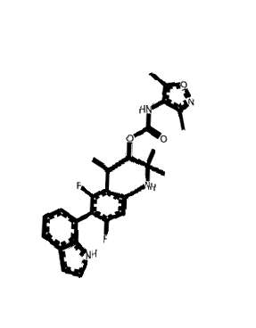 Cc1noc(C)c1NC(=O)OC1C(C)c2c(cc(F)c(-c3cccc4cc[nH]c34)c2F)NC1(C)C